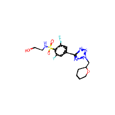 O=S(=O)(NCCO)c1c(F)cc(-c2nnn(CC3CCCCO3)n2)cc1F